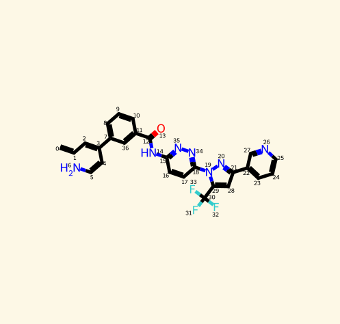 C=C/C=C(\C=C/N)c1cccc(C(=O)Nc2ccc(-n3nc(-c4cccnc4)cc3C(F)(F)F)nn2)c1